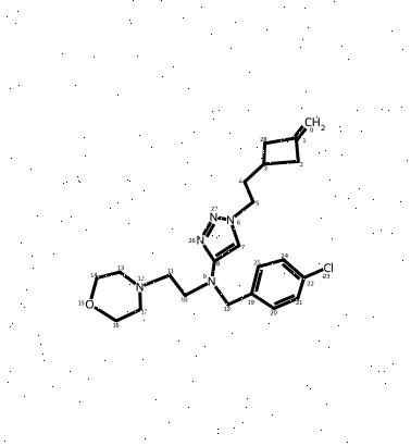 C=C1CC(CCn2cc(N(CCN3CCOCC3)Cc3ccc(Cl)cc3)nn2)C1